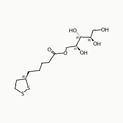 O=C(CCCC[C@@H]1CCSS1)OC[C@H](O)[C@H](O)[C@H](O)CO